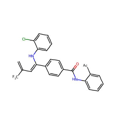 C=C(/C=C(\Nc1ccccc1Cl)c1ccc(C(=O)Nc2ccccc2C(C)=O)cc1)C(F)(F)F